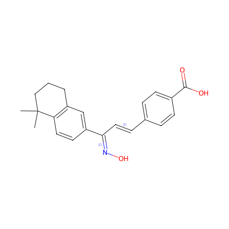 CC1(C)CCCc2cc(C(/C=C/c3ccc(C(=O)O)cc3)=N/O)ccc21